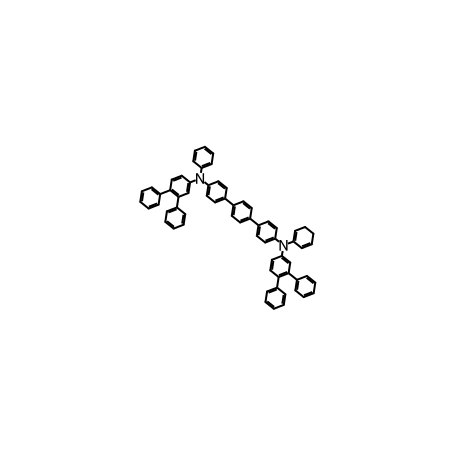 C1=CC(N(c2ccc(-c3ccc(-c4ccc(N(c5ccccc5)c5ccc(-c6ccccc6)c(-c6ccccc6)c5)cc4)cc3)cc2)c2ccc(-c3ccccc3)c(-c3ccccc3)c2)=CCC1